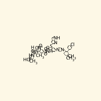 CC(Nc1ccc(S(=O)(=O)NC(=O)c2ccc(N3CCN(CC4=C(c5ccc(Cl)cc5)CC(C)(C)CC4)CC3)cc2Sc2cnc3[nH]ccc3c2)cc1[N+](=O)[O-])[C@H](O)N1CC[PH](C)(O)CC1